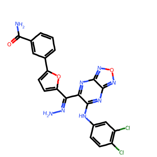 NN=C(c1ccc(-c2cccc(C(N)=O)c2)o1)c1nc2nonc2nc1Nc1ccc(Cl)c(Cl)c1